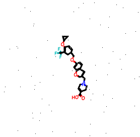 O=C(O)C1=CCN(CC2=Cc3ccc(OCC4C=CC(OC5CC5)=C(C(F)(F)F)C4)cc3OC2)CC1